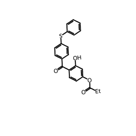 CCC(=O)Oc1ccc(C(=O)c2ccc(Sc3ccccc3)cc2)c(O)c1